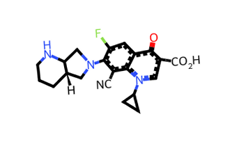 N#Cc1c(N2CC3NCCC[C@H]3C2)c(F)cc2c(=O)c(C(=O)O)cn(C3CC3)c12